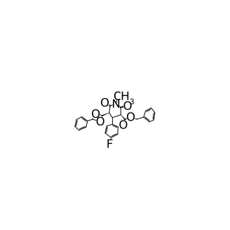 CN1C(=O)[C@@H](C(=O)OCc2ccccc2)C(c2ccc(F)cc2)[C@@H](C2OC(c3ccccc3)O2)C1=O